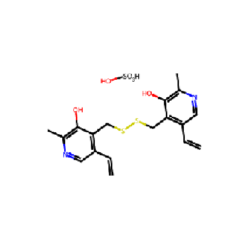 C=Cc1cnc(C)c(O)c1CSSCc1c(C=C)cnc(C)c1O.O=S(=O)(O)O